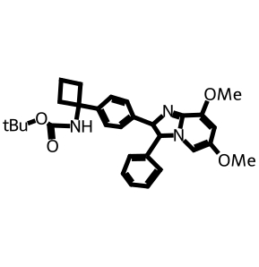 COC1=CN2C(=NC(c3ccc(C4(NC(=O)OC(C)(C)C)CCC4)cc3)C2c2ccccc2)C(OC)=C1